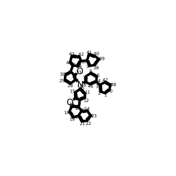 c1ccc(-c2cccc(N(c3ccc4c(c3)oc3ccc5ccccc5c34)c3cccc4c3oc3c(-c5ccccc5)cccc34)c2)cc1